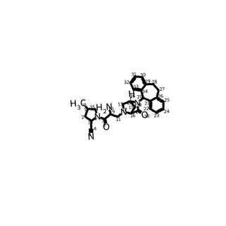 CC1CC(C#N)N(C(=O)C(N)CN2C[C@@H]3CC2C(=O)N3C2c3ccccc3CCc3ccccc32)C1